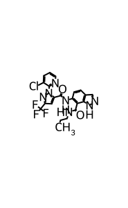 CCCNC(=O)c1c(NC(=O)c2cc(C(F)(F)F)nn2-c2ncccc2Cl)ccc2cn[nH]c12